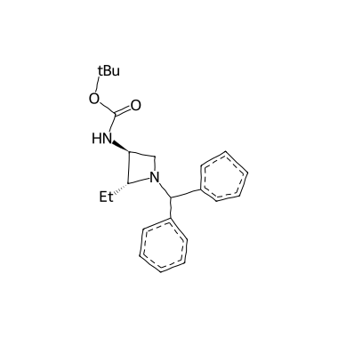 CC[C@@H]1[C@@H](NC(=O)OC(C)(C)C)CN1C(c1ccccc1)c1ccccc1